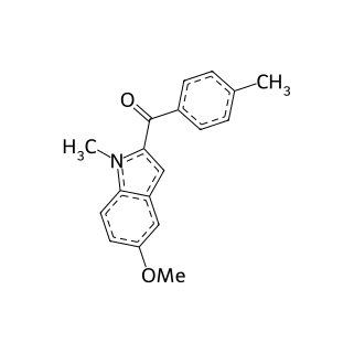 COc1ccc2c(c1)cc(C(=O)c1ccc(C)cc1)n2C